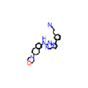 N#CCCc1cccc(-c2ccc3cnc(Nc4ccc5c(c4)CCC(N4CCOCC4)CC5)nn23)c1